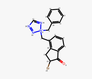 O=C1c2cccc(C[N+]3(Cc4ccccc4)N=CN=N3)c2CC1Br